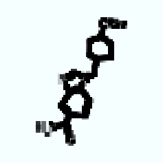 COC1CCC(Cn2cnc3cc(C(N)=O)ccc32)CC1